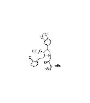 CCCCN(CCCC)C(=O)CN1CC(c2ccc3c(c2)OCO3)C(C(=O)O)C1CCN1CCCC1=O